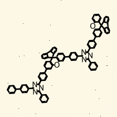 c1ccc(-c2ccc(-c3nc(-c4ccccc4)nc(-c4ccc(-c5ccc6c(c5)Oc5cc(-c7ccc(-c8nc(-c9ccccc9)nc(-c9ccc(-c%10ccc%11c(c%10)Oc%10ccccc%10C%11%10c%11ccccc%11-c%11ccccc%11%10)cc9)n8)cc7)ccc5C65c6ccccc6-c6ccccc65)cc4)n3)cc2)cc1